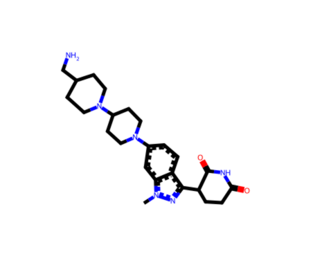 Cn1nc(C2CCC(=O)NC2=O)c2ccc(N3CCC(N4CCC(CN)CC4)CC3)cc21